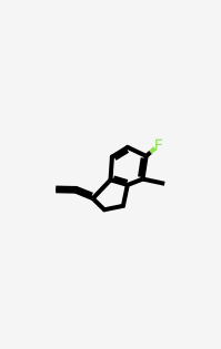 C=C=C1CCc2c1ccc(F)c2C